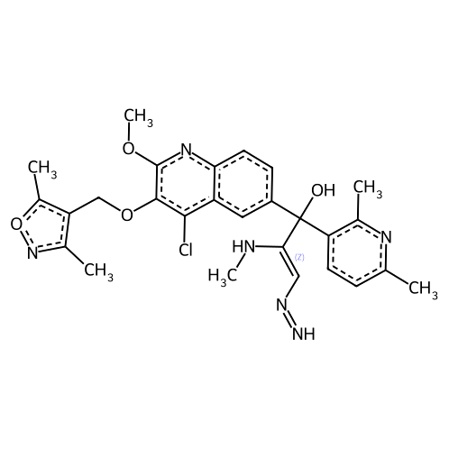 CN/C(=C\N=N)C(O)(c1ccc2nc(OC)c(OCc3c(C)noc3C)c(Cl)c2c1)c1ccc(C)nc1C